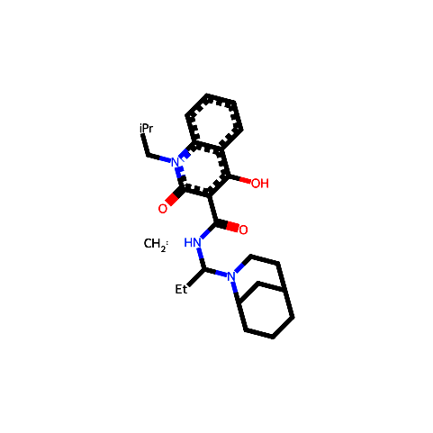 CCC(NC(=O)c1c(O)c2ccccc2n(CC(C)C)c1=O)N1CCC2CCCC1C2.[CH2]